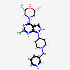 C[C@@H]1CN(c2nc(Cl)nc3c2cnn3C2CCN(Cc3cccnc3)CC2)C[C@H](C)O1